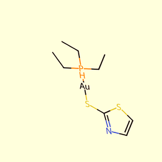 CC[PH](CC)(CC)[Au][S]c1nccs1